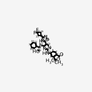 CC1(C)OC(=O)c2ccc(Nc3ncc(-c4nc(C5CC(F)(F)C5)no4)c(N[C@H](CO)c4ccccc4)n3)cc21